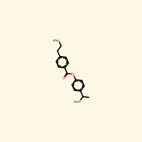 CCCCCCCCCCCCc1ccc(C(=O)Oc2ccc(C(C)OC)cc2)cc1